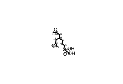 O=P(O)(O)OCCCC(CC1CO1)CC1CO1